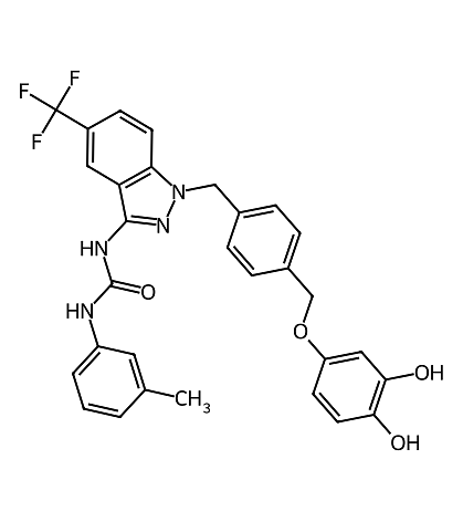 Cc1cccc(NC(=O)Nc2nn(Cc3ccc(COc4ccc(O)c(O)c4)cc3)c3ccc(C(F)(F)F)cc23)c1